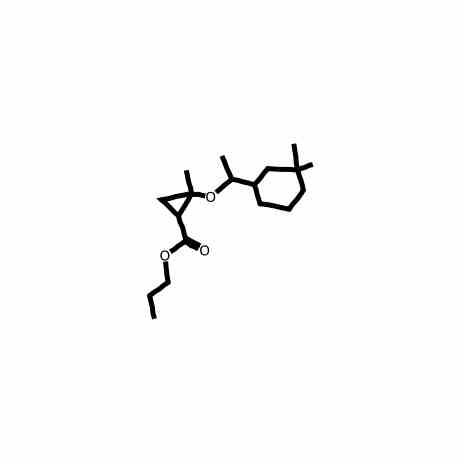 CCCOC(=O)C1CC1(C)OC(C)C1CCCC(C)(C)C1